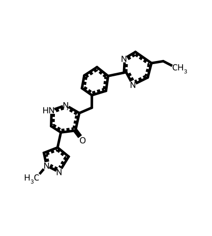 CCc1cnc(-c2cccc(Cc3n[nH]cc(-c4cnn(C)c4)c3=O)c2)nc1